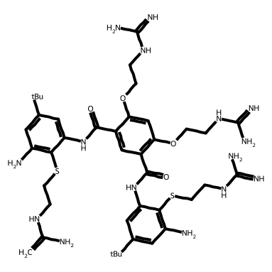 C=C(N)NCCSc1c(N)cc(C(C)(C)C)cc1NC(=O)c1cc(C(=O)Nc2cc(C(C)(C)C)cc(N)c2SCCNC(=N)N)c(OCCNC(=N)N)cc1OCCNC(=N)N